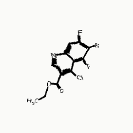 CCOC(=O)c1cnc2cc(F)c(Br)c(F)c2c1Cl